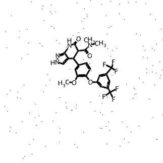 COc1cc(C2c3c[nH]nc3NC(=O)C2C(=O)N(C)C)ccc1Oc1cc(C(F)(F)F)cc(C(F)(F)F)c1